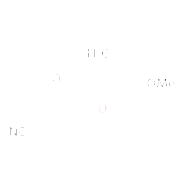 COC(C)OC(=O)CC#N